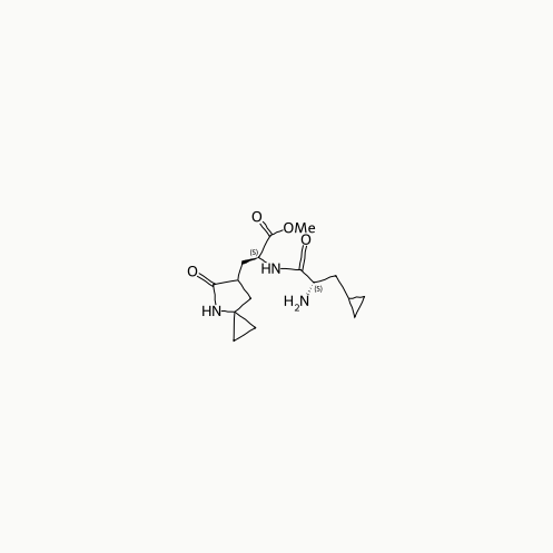 COC(=O)[C@H](CC1CC2(CC2)NC1=O)NC(=O)[C@@H](N)CC1CC1